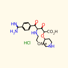 COCCNC(C(=O)c1ccc(C(=N)N)cc1)C(=O)C(OC1CCNCC1)C(=O)O.Cl